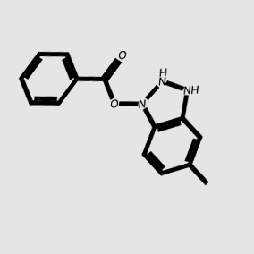 Cc1ccc2c(c1)NNN2OC(=O)c1ccccc1